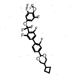 Fc1cc(C2OCC(C3CCC3)CO2)ccc1-c1cc(F)c(C(F)(F)Oc2cc(F)c(OC(F)(F)F)c(F)c2)c(F)c1